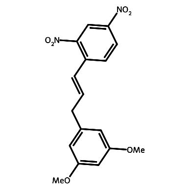 COc1cc(C/C=C/c2ccc([N+](=O)[O-])cc2[N+](=O)[O-])cc(OC)c1